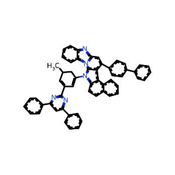 CC1C=C(c2nc(-c3ccccc3)cc(-c3ccccc3)n2)C=C(n2c3ccc4ccccc4c3c3c(-c4ccc(-c5ccccc5)cc4)cc4nc5ccccc5n4c32)C1